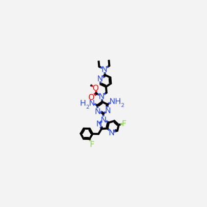 CCN(CC)c1ccc(CN(C(=O)OC)c2c(N)nc(-n3nc(Cc4ccccc4F)c4ncc(F)cc43)nc2N)cn1